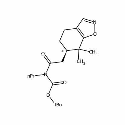 CCCN(C(=O)C[C@H]1CCc2cnoc2C1(C)C)C(=O)OC(C)(C)C